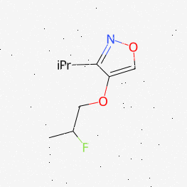 CC(F)COc1conc1C(C)C